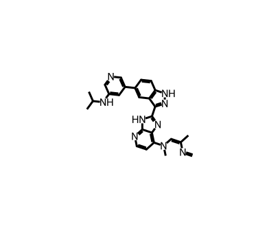 C=N/C(C)=C\N(C)c1ccnc2[nH]c(-c3n[nH]c4ccc(-c5cncc(NC(C)C)c5)cc34)nc12